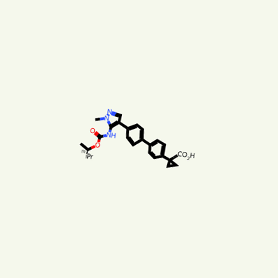 CC(C)[C@H](C)OC(=O)Nc1c(-c2ccc(-c3ccc(C4(C(=O)O)CC4)cc3)cc2)cnn1C